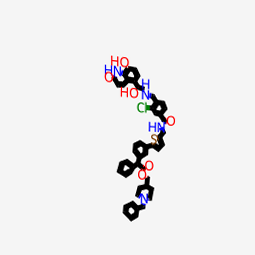 O=C(NCc1ccc(-c2cccc(C(C(=O)OCC3CCN(Cc4ccccc4)CC3)c3ccccc3)c2)s1)c1ccc(CNC[C@H](O)c2ccc(O)c3[nH]c(=O)ccc23)c(Cl)c1